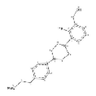 COCCc1ccc(N2CCN(c3cccc(CO)c3F)CC2)cc1